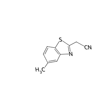 Cc1ccc2sc(CC#N)nc2c1